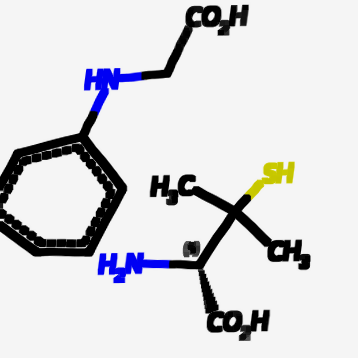 CC(C)(S)[C@@H](N)C(=O)O.O=C(O)CNc1ccccc1